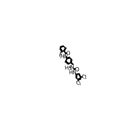 O=C(Nc1ccc(CN(S)C(=O)Nc2cc(Cl)cc(Cl)c2)cc1)c1ccccc1F